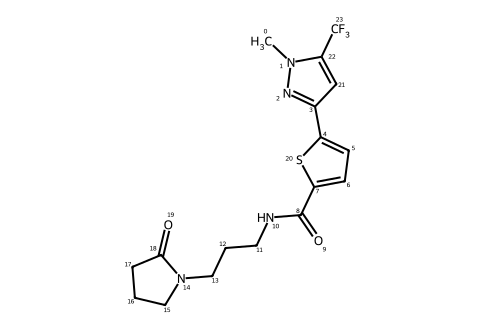 Cn1nc(-c2ccc(C(=O)NCCCN3CCCC3=O)s2)cc1C(F)(F)F